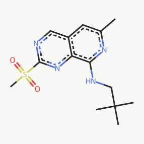 Cc1cc2cnc(S(C)(=O)=O)nc2c(NCC(C)(C)C)n1